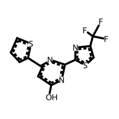 Oc1cc(-c2cccs2)nc(-c2nc(C(F)(F)F)cs2)n1